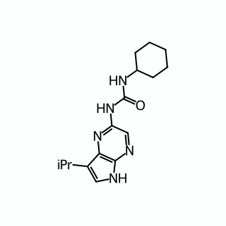 CC(C)c1c[nH]c2ncc(NC(=O)NC3CCCCC3)nc12